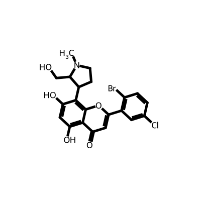 CN1CCC(c2c(O)cc(O)c3c(=O)cc(-c4cc(Cl)ccc4Br)oc23)C1CO